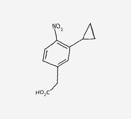 O=C(O)Cc1ccc([N+](=O)[O-])c(C2CC2)c1